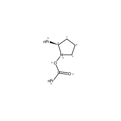 CCCC(=O)ON1CCC[C@@H]1CCC